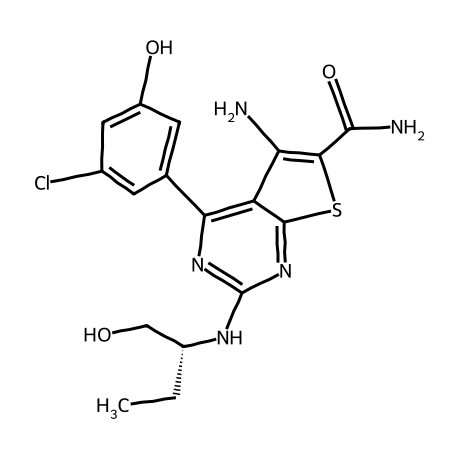 CC[C@H](CO)Nc1nc(-c2cc(O)cc(Cl)c2)c2c(N)c(C(N)=O)sc2n1